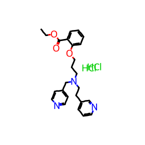 CCOC(=O)c1ccccc1OCCCN(CCc1cccnc1)Cc1ccncc1.Cl.Cl